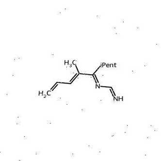 C=CC=C(C)/C(=N/C=N)C(C)CCC